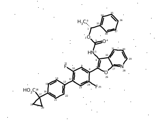 C[C@@H](OC(=O)Nc1c(-c2cc(F)c(-c3ccc(C4(C(=O)O)CC4)cc3)cc2F)oc2ncccc12)c1ccccc1